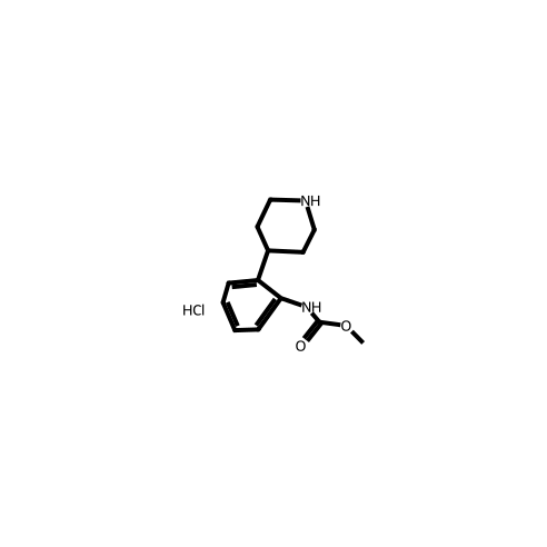 COC(=O)Nc1ccccc1C1CCNCC1.Cl